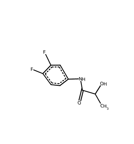 CC(O)C(=O)Nc1ccc(F)c(F)c1